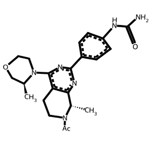 CC(=O)N1CCc2c(nc(-c3ccc(NC(N)=O)cc3)nc2N2CCOC[C@@H]2C)[C@@H]1C